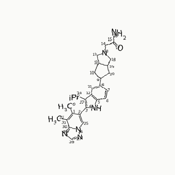 Cc1c(-c2[nH]c3ccc(C4CC5CN(CC(N)=O)CC5C4)cc3c2C(C)C)cn2ncnc2c1C